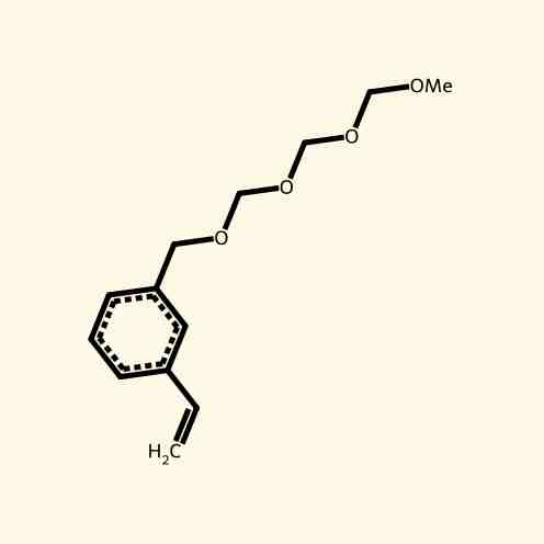 C=Cc1cccc(COCOCOCOC)c1